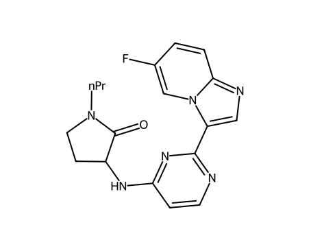 CCCN1CCC(Nc2ccnc(-c3cnc4ccc(F)cn34)n2)C1=O